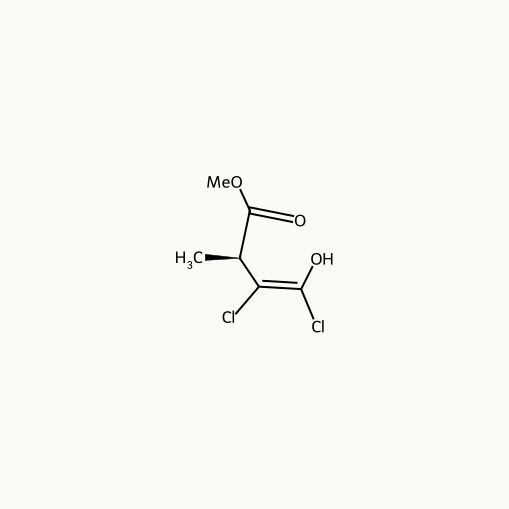 COC(=O)[C@H](C)/C(Cl)=C(\O)Cl